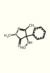 CC1=NN(C)C(=O)C1(NO)c1ccccc1